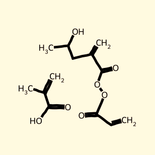 C=C(C)C(=O)O.C=CC(=O)OOC(=O)C(=C)CC(C)O